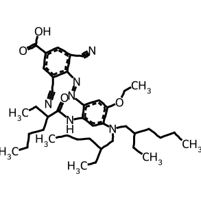 CCCCC(CC)CN(CC(CC)CCCC)c1cc(NC(=O)C(CC)CCCC)c(N=Nc2c(C#N)cc(C(=O)O)cc2C#N)cc1OCC